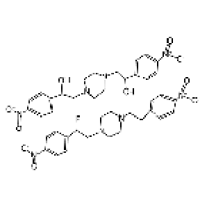 O=[N+]([O-])c1ccc(C(O)CN2CCN(CC(O)c3ccc([N+](=O)[O-])cc3)CC2)cc1.O=[N+]([O-])c1ccc(CCN2CCN(CC(F)c3ccc([N+](=O)[O-])cc3)CC2)cc1